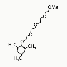 COCCOCCOCCOCCOc1c(C)cc(C)cc1C